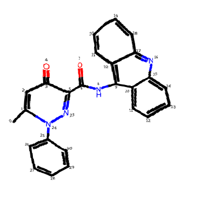 Cc1cc(=O)c(C(=O)Nc2c3ccccc3nc3ccccc23)nn1-c1ccccc1